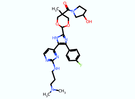 CN(C)CCCNc1nccc(-c2[nH]c(C3OCC(C)(C(=O)N4CCC(O)C4)CO3)nc2-c2ccc(F)cc2)n1